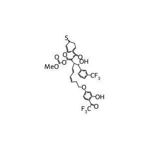 COC(=O)Oc1oc2c(c(=O)c1[C@H](/C=C/C=C\CCOc1ccc(C(=O)C(F)(F)F)c(O)c1)[C@@H](O)c1cccc(C(F)(F)F)c1)=CCC(=S)C=2